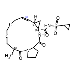 C[C@H]1CCCCC/C=C\[C@@H]2C[C@@]2(C(=O)NS(=O)(=O)C2CC2)NC(=O)C2CCCN2C1=O